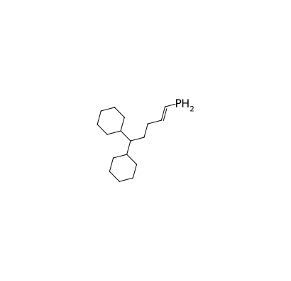 PC=CCCC(C1CCCCC1)C1CCCCC1